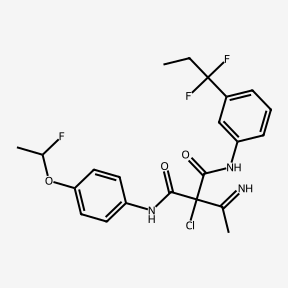 CCC(F)(F)c1cccc(NC(=O)C(Cl)(C(C)=N)C(=O)Nc2ccc(OC(C)F)cc2)c1